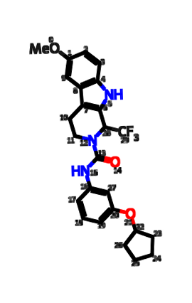 COc1ccc2[nH]c3c(c2c1)CCN(C(=O)Nc1cccc(OC2CCCC2)c1)C3C(F)(F)F